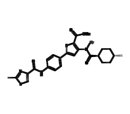 COC(=O)c1sc(-c2ccc(NC(=O)c3csc(C)n3)cc2)cc1N(C(=O)[C@H]1CC[C@H](C)CC1)C(C)C